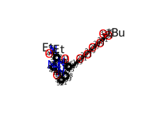 CCN(CC)C(=O)c1ccc(NC(=O)c2cccc(CCCOCCOCCOCCOCCC(=O)OC(C)(C)C)c2)c(-c2nccc(C(=O)N[C@H]3CCCc4ccccc43)n2)c1